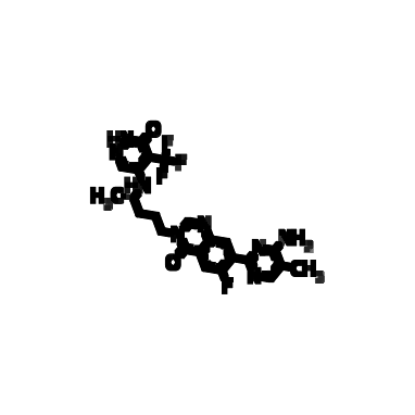 Cc1cnc(-c2cc3ncn(CCC[C@H](C)Nc4cn[nH]c(=O)c4C(F)(F)F)c(=O)c3cc2F)nc1N